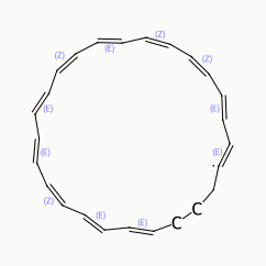 [C]1=C/C=C/C=C\C=C/C=C/C=C\C=C\C=C\C=C/C=C/C=C/CCC/1